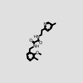 COc1c(C)cccc1CNC(=O)C(=O)NCCc1ccc(C)cn1